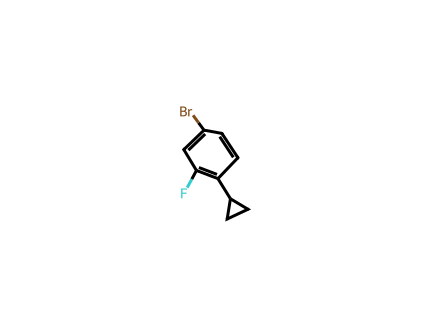 Fc1cc(Br)ccc1C1CC1